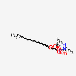 CCCCCCCCCCCCCCCCCCCOCC(COP(=O)(O)CCNC)OC(=O)CC